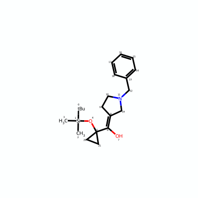 CC(C)(C)[Si](C)(C)OC1(/C(O)=C2\CCN(Cc3ccccc3)C2)CC1